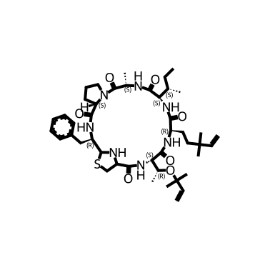 C=CC(C)(C)CC[C@H]1NC(=O)[C@H]([C@@H](C)OC(C)(C)C=C)NC(=O)C2CSC(N2)[C@@H](Cc2ccccc2)NC(=O)[C@@H]2CCCN2C(=O)[C@H](C)NC(=O)[C@H]([C@@H](C)CC)NC1=O